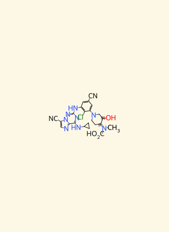 CN(C(=O)O)[C@@H]1CCN(c2cc(C#N)cc(Nc3nc(NC4CC4)c4ncc(C#N)n4n3)c2Cl)C[C@H]1O